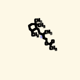 C=C1CCCC(C)(C)C1CC/C(C)=C/COC(C)=O